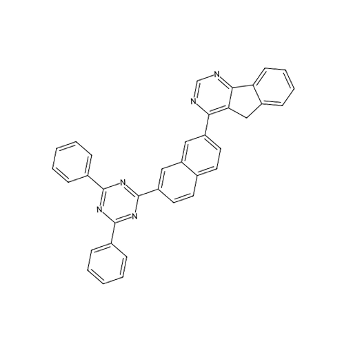 c1ccc(-c2nc(-c3ccccc3)nc(-c3ccc4ccc(-c5ncnc6c5Cc5ccccc5-6)cc4c3)n2)cc1